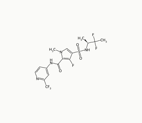 C[C@H](NS(=O)(=O)c1cn(C)c(C(=O)Nc2ccnc(C(F)(F)F)c2)c1F)C(C)(F)F